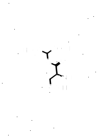 NC(CC(=O)O)C(=O)OC(C(=O)O)C(=O)O